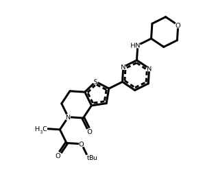 CC(C(=O)OC(C)(C)C)N1CCc2sc(-c3ccnc(NC4CCOCC4)n3)cc2C1=O